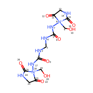 O=C(NCNC(=O)N[N+]1(CO)C(=O)CNC1=O)N[N+]1(CO)C(=O)CNC1=O